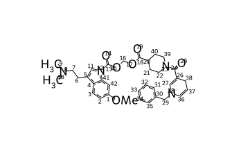 COc1ccc2c(CCN(C)C)cn(C(=O)OCOC(=O)C3CCN(C(=O)C4=CN(Cc5ccccc5)C=CC4)CC3)c2c1